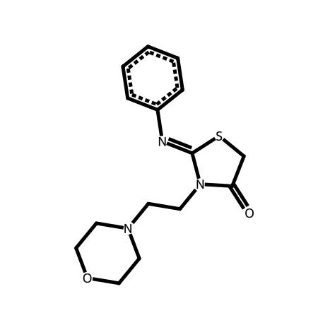 O=C1CS/C(=N\c2ccccc2)N1CCN1CCOCC1